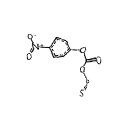 O=C(OP=S)Oc1ccc([N+](=O)[O-])cc1